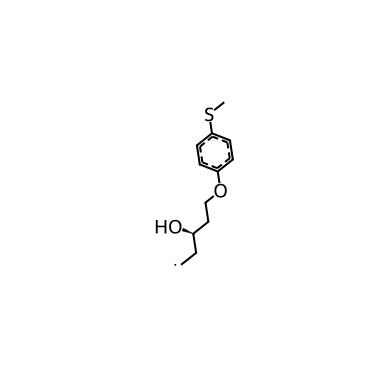 [CH2]C[C@@H](O)CCOc1ccc(SC)cc1